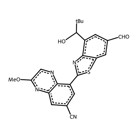 COc1cnc2c(-c3nc4c(C(O)C(C)(C)C)cc(C=O)cc4s3)cc(C#N)cc2n1